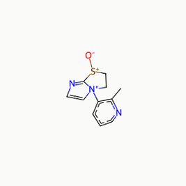 Cc1ncccc1[N+]12C=CN=C1[S+]([O-])CC2